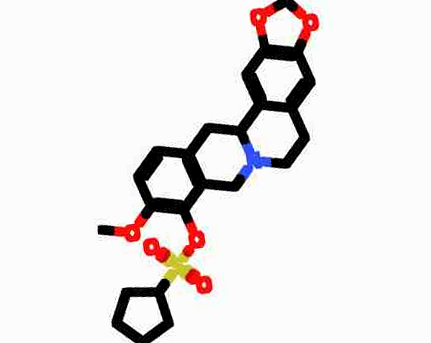 COc1ccc2c(c1OS(=O)(=O)C1CCCC1)CN1CCc3cc4c(cc3C1C2)OCO4